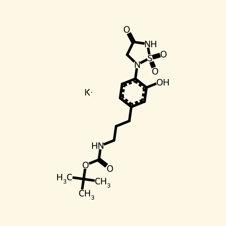 CC(C)(C)OC(=O)NCCCc1ccc(N2CC(=O)NS2(=O)=O)c(O)c1.[K]